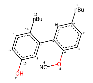 CCCCc1ccc(OC#N)c(-c2cc(O)ccc2CCCC)c1